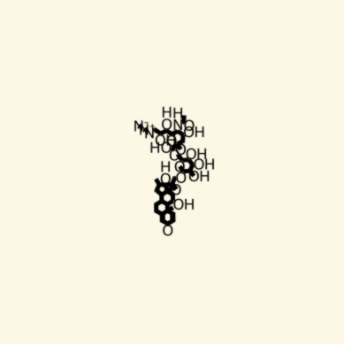 CC(=O)NC1C(O)CC(OCC2OC(OCC(=O)C3(O)C(C)CC4C5CCC6=CC(=O)C=CC6(C)C5C(O)CC43C)C(O)C(O)C2O)(C(=O)O)OC1C(O)C(O)CN=[N+]=[N-]